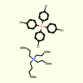 CCCCCCCCCCCCC[N+](CCCCCCCCCCCC)(CCCCCCCCCCCC)CCCCCCCCCCCC.Clc1ccc([B-](c2ccc(Cl)cc2)(c2ccc(Cl)cc2)c2ccc(Cl)cc2)cc1